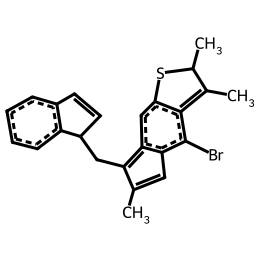 CC1=Cc2c(Br)c3c(cc2=C1CC1C=Cc2ccccc21)SC(C)C=3C